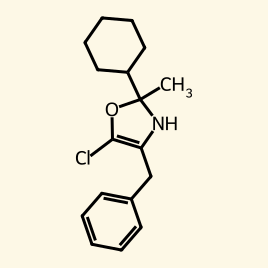 CC1(C2CCCCC2)NC(Cc2ccccc2)=C(Cl)O1